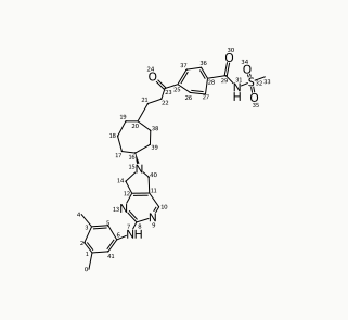 Cc1cc(C)cc(Nc2ncc3c(n2)CN([C@H]2CCCC(CCC(=O)c4ccc(C(=O)NS(C)(=O)=O)cc4)CC2)C3)c1